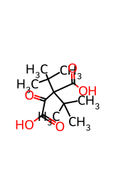 CC(C)(C)C(C(=O)O)(C(=O)C(=O)O)C(C)(C)C